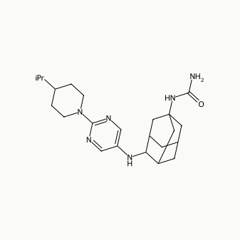 CC(C)C1CCN(c2ncc(NC3C4CC5CC3CC(NC(N)=O)(C5)C4)cn2)CC1